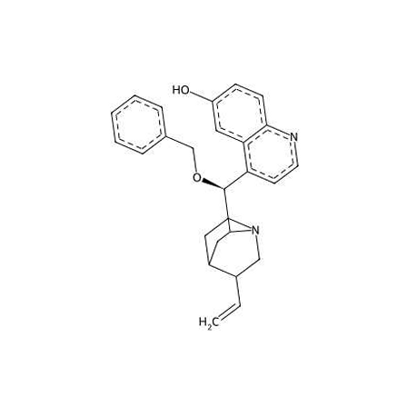 C=CC1CN2CCC1CC2[C@@H](OCc1ccccc1)c1ccnc2ccc(O)cc12